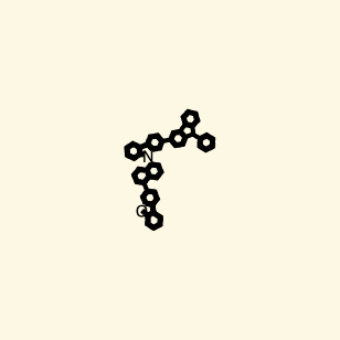 c1ccc(C2c3ccccc3-c3cc(-c4ccc5c6ccccc6n(-c6cccc7c(-c8ccc9c(c8)oc8ccccc89)cccc67)c5c4)ccc32)cc1